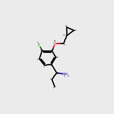 CCC(N)c1ccc(F)c(OCC2CC2)c1